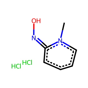 Cl.Cl.Cn1ccccc1=NO